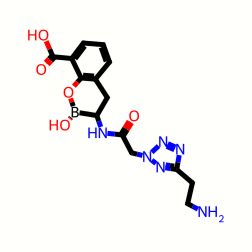 NCCc1nnn(CC(=O)NC2Cc3cccc(C(=O)O)c3OB2O)n1